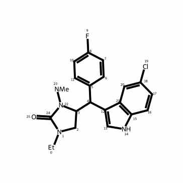 CCN1CC(C(c2ccc(F)cc2)c2c[nH]c3ccc(Cl)cc23)N(NC)C1=O